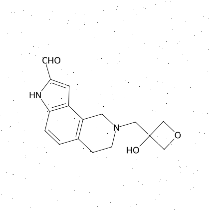 O=Cc1cc2c3c(ccc2[nH]1)CCN(CC1(O)COC1)C3